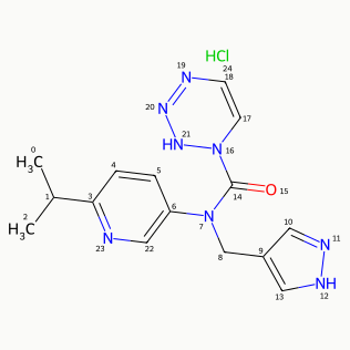 CC(C)c1ccc(N(Cc2cn[nH]c2)C(=O)N2C=CN=NN2)cn1.Cl